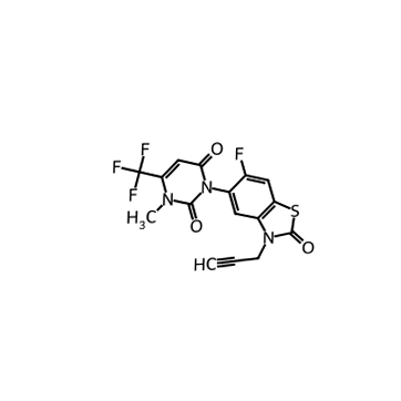 C#CCn1c(=O)sc2cc(F)c(-n3c(=O)cc(C(F)(F)F)n(C)c3=O)cc21